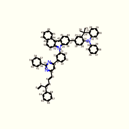 C=C/C(=C\C=C\c1cc(-c2cccc(-n3c4cc(-c5ccc6c(c5)C(C)(C)c5ccccc5N6c5ccccc5)ccc4c4c5ccccc5ccc43)c2)nc(-c2ccccc2)n1)c1ccccc1